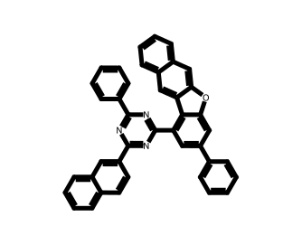 c1ccc(-c2cc(-c3nc(-c4ccccc4)nc(-c4ccc5ccccc5c4)n3)c3c(c2)oc2cc4ccccc4cc23)cc1